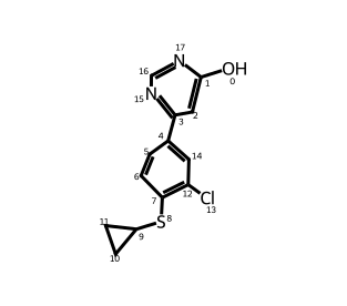 Oc1cc(-c2ccc(SC3CC3)c(Cl)c2)ncn1